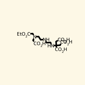 CCOC(=O)CN(CCNCCNC(CC(=O)O)(CC(=O)O)C(=O)O)CC(=O)O